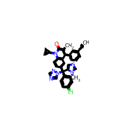 C#Cc1cccc(-c2c(C)c(=O)n(C3CC3)c3ccc(C(c4ccc(Cl)cc4)(c4cncn4C)n4cncn4)cc23)c1